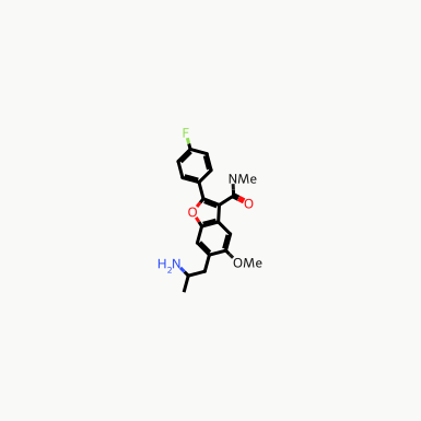 CNC(=O)c1c(-c2ccc(F)cc2)oc2cc(CC(C)N)c(OC)cc12